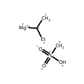 CC[CH](C)[Mg+2].CS(=O)(=O)O